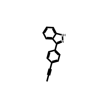 CC#Cc1ccc(-c2n[nH]c3ccccc23)cc1